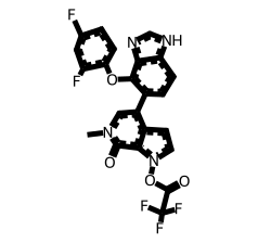 Cn1cc(-c2ccc3[nH]cnc3c2Oc2ccc(F)cc2F)c2ccn(OC(=O)C(F)(F)F)c2c1=O